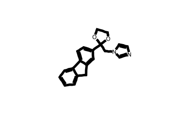 c1ccc2c(c1)Cc1cc(C3(Cn4ccnc4)OCCO3)ccc1-2